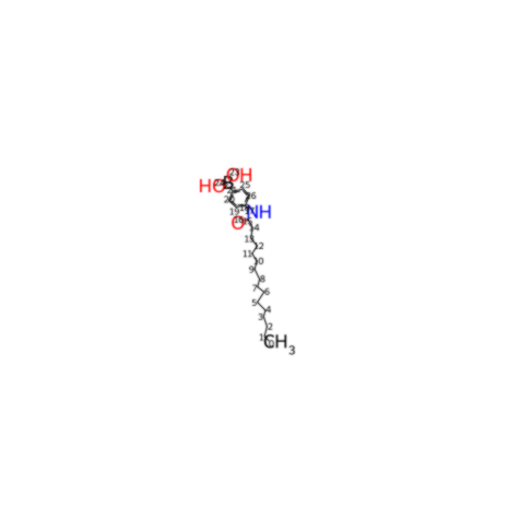 CCCCCCCCCCCCCCCC(=O)Nc1ccc(B(O)O)cc1